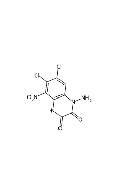 NN1C(=O)C(=O)[N]c2c1cc(Cl)c(Cl)c2[N+](=O)[O-]